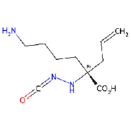 C=CC[C@@](CCCCN)(NN=C=O)C(=O)O